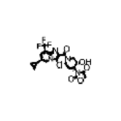 O=C(c1nc2c(C(F)(F)F)cc(C3CC3)cn2c1Cl)N1CC[C@H](N2C(=O)COC2=O)[C@@H](O)C1